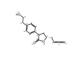 [N-]=[N+]=NC[C@H]1CN(c2ccc(CCO)cc2)C(=O)O1